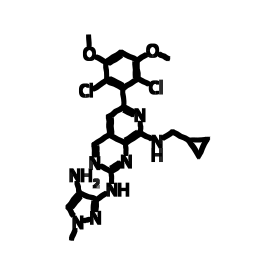 COc1cc(OC)c(Cl)c(-c2cc3cnc(Nc4nn(C)cc4N)nc3c(NCC3CC3)n2)c1Cl